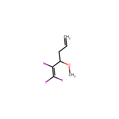 C=CCC(OC)C(I)=C(I)I